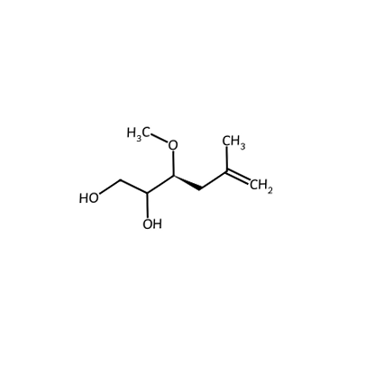 C=C(C)C[C@H](OC)C(O)CO